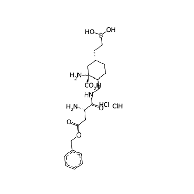 Cl.Cl.N[C@@H](CC(=O)OCc1ccccc1)C(=O)NC[C@@H]1CC[C@@H](CCB(O)O)C[C@]1(N)C(=O)O